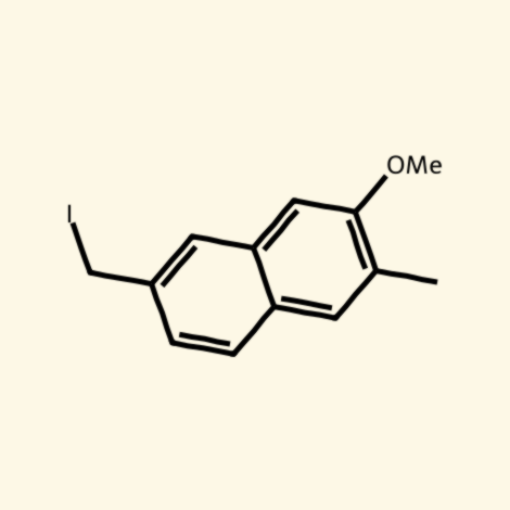 COc1cc2cc(CI)ccc2cc1C